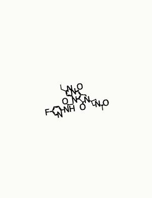 CCc1cc2n(CC(=O)Nc3ccc(F)cn3)c3c(c(=O)n2n1)CN(C1CN(C(C)=O)C1)C3=O